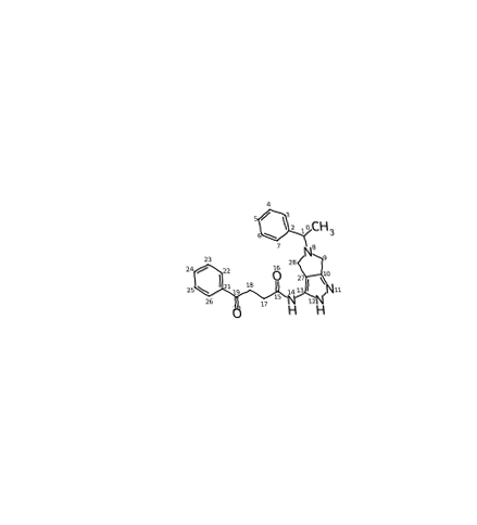 CC(c1ccccc1)N1Cc2n[nH]c(NC(=O)CCC(=O)c3ccccc3)c2C1